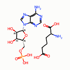 NC(CCCC(=O)O)C(=O)O.Nc1ncnc2c1ncn2[C@@H]1O[C@H](COP(=O)(O)O)[C@@H](O)[C@H]1O